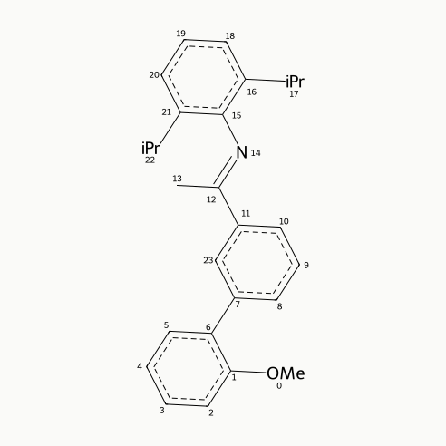 COc1ccccc1-c1cccc(/C(C)=N/c2c(C(C)C)cccc2C(C)C)c1